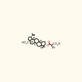 C=C(C)[C@@H]1CC[C@]2(C(=O)O)CC[C@]3(C)[C@H](CC[C@@H]4[C@@]5(C)CC[C@H](OC(=O)C(C(=O)O)C(C)C)C(C)(C)[C@@H]5CC[C@]43C)[C@@H]12